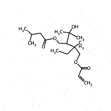 C=CC(=O)OCC(C)(CC)C(COC(=O)CC(C)C)C(C)(C)O